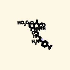 CC(C(O)CO)C1OC(C(=O)O)=CC(C)[C@H]1NC(=O)CN/C=C(\N)c1ccc(N(C)C)cc1